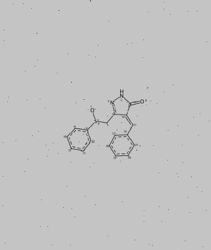 O=C1NN=C(C[S+]([O-])c2ccccc2)C1=Cc1ccccc1